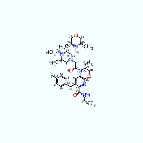 C[C@@H]1CN(CC(=O)N2c3cc(Cc4ccc(F)cc4)c(C(=O)NCC(F)(F)F)nc3OC[C@@H]2C)[C@@H](CN2[C@H](C)COC[C@H]2C)CN1C(=O)O